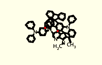 C=NC1=C(/C=C\C)C2(c3ccccc3N(c3ccccc3)c3cc4c(cc32)-c2ccccc2C42c3ccccc3-c3ccccc32)c2cc(-n3c4ccccc4c4cc(N(c5ccccc5)c5ccccc5)ccc43)cnc21